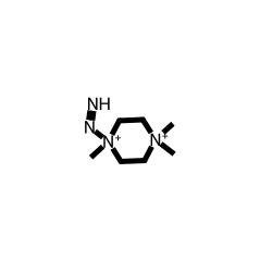 C[N+]1(C)CC[N+](C)(N=N)CC1